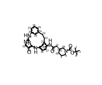 CC(C)(C)OC(=O)N1CCC[C@@H](CC(=O)Nc2ccc3cc2CCc2cccc(c2)Nc2ncc(Cl)c(n2)N3)C1